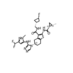 C[C@H]1C[C@@H]1C(=O)Nc1sc2c(c1C(=O)NC[C@H]1C[C@H](F)C1)C[C@@H](n1cnnc1Nc1cc(C(F)F)nn1C)CC2